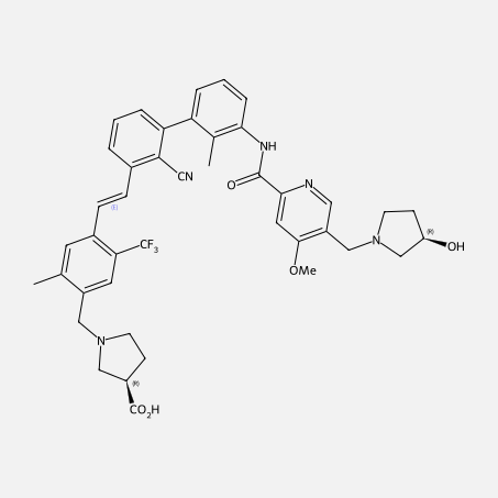 COc1cc(C(=O)Nc2cccc(-c3cccc(/C=C/c4cc(C)c(CN5CC[C@@H](C(=O)O)C5)cc4C(F)(F)F)c3C#N)c2C)ncc1CN1CC[C@@H](O)C1